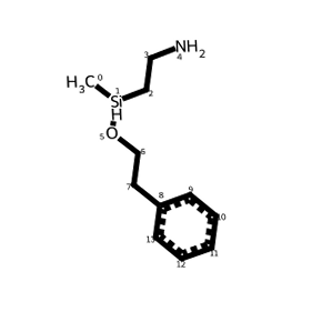 C[SiH](CCN)OCCc1ccccc1